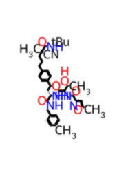 Cc1ccc(CNC(=O)[C@H](CCc2ccc(CCCC(C)(C#N)C(=O)NC(C)(C)C)cc2)NC(=O)[C@@H](NC(=O)c2cc(C)on2)[C@@H](C)O)cc1